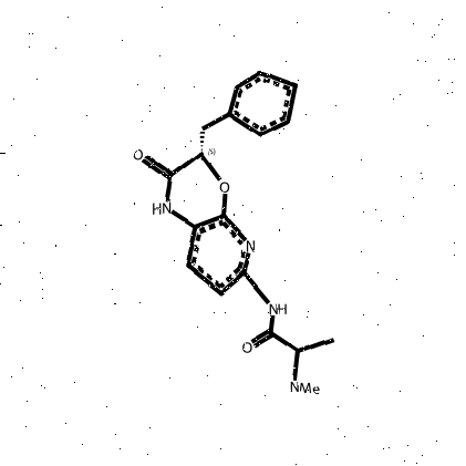 CNC(C)C(=O)Nc1ccc2c(n1)O[C@@H](Cc1ccccc1)C(=O)N2